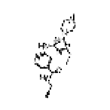 C#CCNC(=O)c1ccnc(Nc2nc(CC)nc(N3CCN(C)CC3)n2)c1